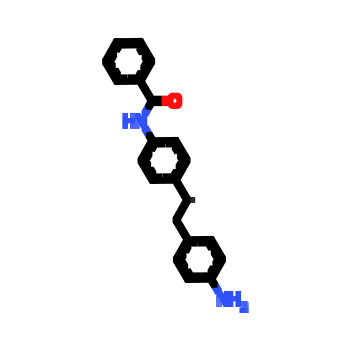 Nc1ccc(C[CH]c2ccc(NC(=O)c3ccccc3)cc2)cc1